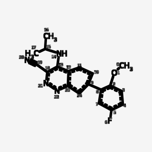 COc1ccc(F)cc1-c1ccc2c(NC(C)C)c(C#N)nnc2c1